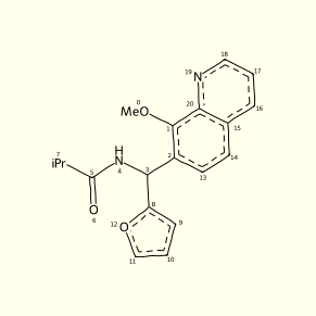 COc1c(C(NC(=O)C(C)C)c2ccco2)ccc2cccnc12